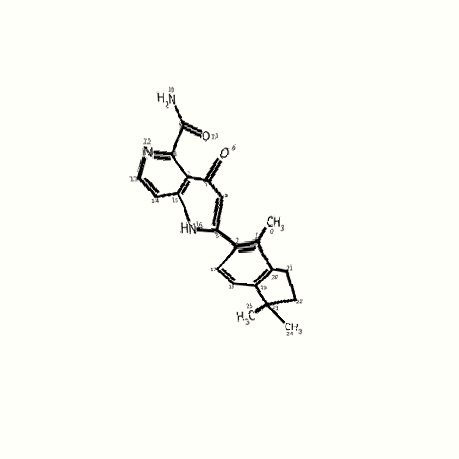 Cc1c(-c2cc(=O)c3c(C(N)=O)nccc3[nH]2)ccc2c1CCC2(C)C